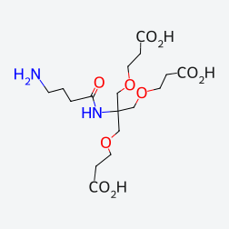 NCCCC(=O)NC(COCCC(=O)O)(COCCC(=O)O)COCCC(=O)O